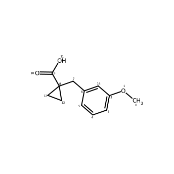 COc1cccc(CC2(C(=O)O)CC2)c1